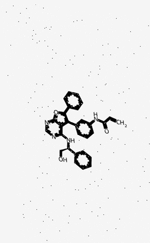 C=CC(=O)Nc1cccc(-c2c(-c3ccccc3)oc3ncnc(N[C@H](CO)c4ccccc4)c23)c1